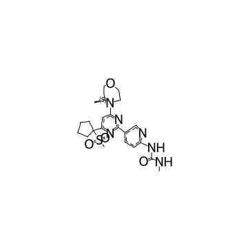 CNC(=O)Nc1ccc(-c2nc(N3CCOC[C@@H]3C)cc(C3(S(C)(=O)=O)CCCC3)n2)cn1